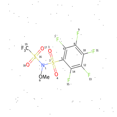 CON(S(=O)(=O)c1c(F)c(F)c(F)c(F)c1F)S(=O)(=O)C(F)(F)F